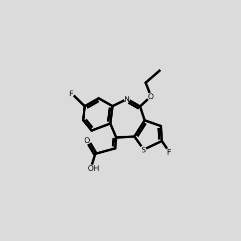 CCOC1=Nc2cc(F)ccc2C(=CC(=O)O)c2sc(F)cc21